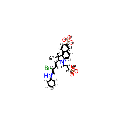 CC1(C)C(/C=C/C(Br)=C/Nc2ccccc2)=[N+](CCCS(=O)(=O)[O-])c2ccc3cc(S(=O)(=O)[O-])ccc3c21.[K+]